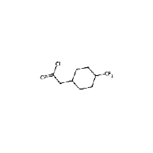 O=C(Cl)CC1CCC(C(F)(F)F)CC1